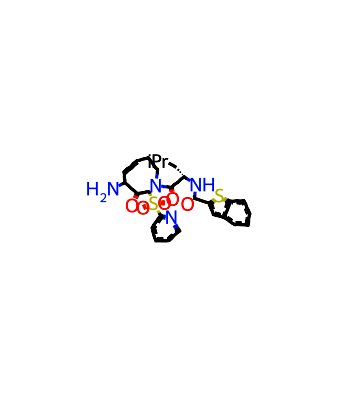 CC(C)C[C@H](NC(=O)c1cc2ccccc2s1)C(=O)N1CCC=CC(N)C(=O)C1S(=O)(=O)c1ccccn1